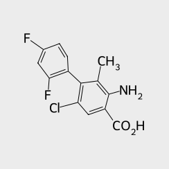 Cc1c(N)c(C(=O)O)cc(Cl)c1-c1ccc(F)cc1F